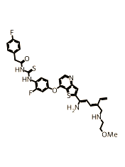 C=C/C(=C\C=C(/N)c1cc2nccc(Oc3ccc(NC(=S)NC(=O)Cc4ccc(F)cc4)c(F)c3)c2s1)CNCCOC